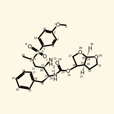 COc1ccc(S(=O)(=O)N(C)C[C@@H](N)[C@H](Cc2ccccc2)NC(=O)OC2CO[C@H]3OCC[C@@H]23)cc1